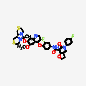 COc1cc2c(Oc3ccc(NC(=O)c4c5c(cn(-c6ccc(F)cc6)c4=O)CCO5)cc3F)ccnc2cc1OC(C)(N1CCSCC1)N1CCSCC1